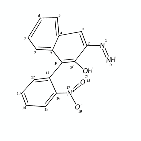 N=Nc1cc2ccccc2c(-c2ccccc2[N+](=O)[O-])c1O